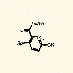 COC(=O)c1nc(O)ccc1Br